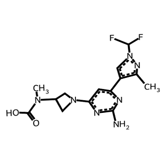 Cc1nn(C(F)F)cc1-c1cc(N2CC(N(C)C(=O)O)C2)nc(N)n1